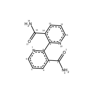 NC(=O)c1cccnc1-c1ncccc1C(N)=O